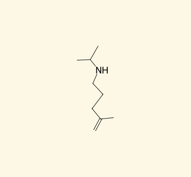 C=C(C)CCCNC(C)C